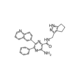 Nc1nc(-c2ccccc2)c(-c2ccc3ncccc3c2)nc1C(=O)NCc1n[nH]c2c1CCC2